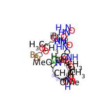 COc1cc2cc(c1Cl)N(C)C(=O)C[C@H](OC(=O)Nc1ccc(NC(=O)[C@H](CCCNC(N)=O)NC(=O)[C@@H](NC(=O)CCCCC(C)(C)OC(=O)C(CBr)CBr)C(C)C)cc1C)[C@]1(C)O[C@H]1[C@H](C)[C@@H]1C[C@@](O)(NC(=O)O1)[C@H](OC)/C=C/C=C(\C)C2